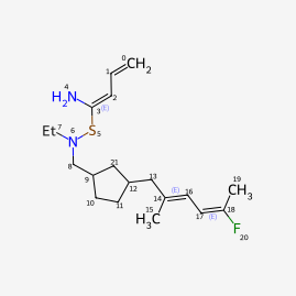 C=C/C=C(\N)SN(CC)CC1CCC(C/C(C)=C/C=C(\C)F)C1